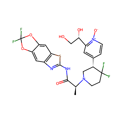 C[C@@H](C(=O)Nc1nc2cc3c(cc2s1)OC(F)(F)O3)N1CCC(F)(F)[C@@H](c2cc[n+]([O-])c([C@@H](O)CO)c2)C1